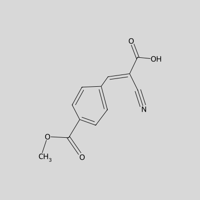 COC(=O)c1ccc(/C=C(\C#N)C(=O)O)cc1